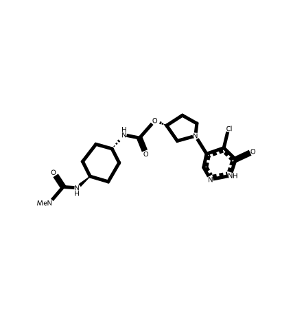 CNC(=O)N[C@H]1CC[C@H](NC(=O)O[C@@H]2CCN(c3cn[nH]c(=O)c3Cl)C2)CC1